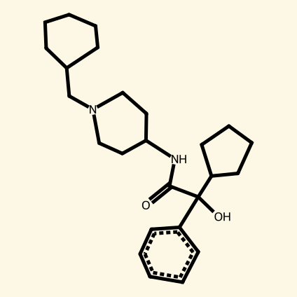 O=C(NC1CCN(CC2CCCCC2)CC1)C(O)(c1ccccc1)C1CCCC1